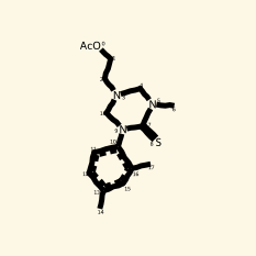 CC(=O)OCCN1CN(C)C(=S)N(c2ccc(C)cc2C)C1